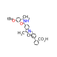 Cc1c(C)n(Cc2ccc(-c3ccccc3C(=O)O)cc2)c2ccc(C(=O)NC(C)c3ccc(OC(C)(C)C)cc3)cc12